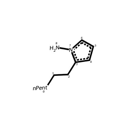 CCCCCCCc1cccn1N